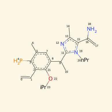 C=Cc1c(P)c(C)cc(C(C)c2nc(C)c(C(=C)N)n2CCC)c1OC(C)C